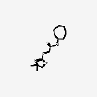 CC1(C)CNC(SCC(=O)NC2CCCCCC2)=N1